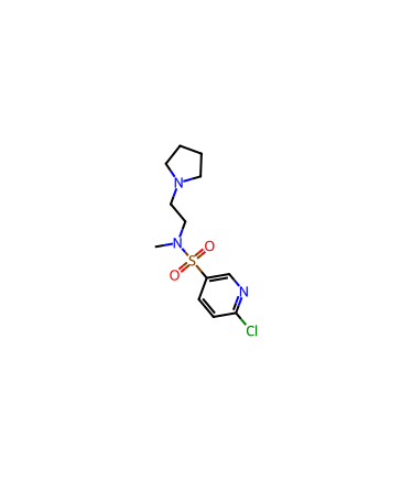 CN(CCN1CCCC1)S(=O)(=O)c1ccc(Cl)nc1